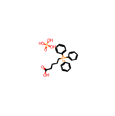 O=C(O)CCCC[PH](c1ccccc1)(c1ccccc1)c1ccccc1.O=P(O)(O)O